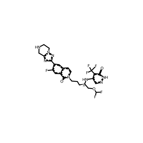 O=c1[nH]ncc(N[C@H](CCCn2ccc3cc(-c4nc5n(n4)CCNC5)c(F)cc3c2=O)COC(F)F)c1C(F)(F)F